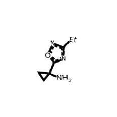 CCc1noc(C2(N)CC2)n1